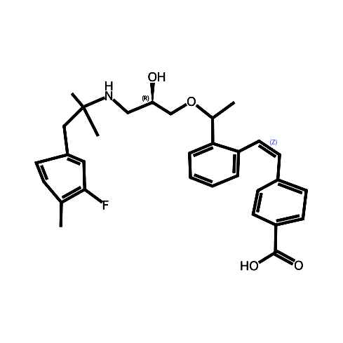 Cc1ccc(CC(C)(C)NC[C@@H](O)COC(C)c2ccccc2/C=C\c2ccc(C(=O)O)cc2)cc1F